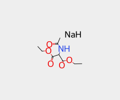 CCOC(=O)C(NC(C)=O)C(=O)OCC.[NaH]